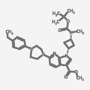 CCc1ccc(N2CCN(c3ccc4c(C(=O)OC)cn([C@H]5C[C@@H](N(C)C(=O)OC(C)(C)C)C5)c4n3)CC2)cc1